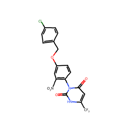 O=c1cc(C(F)(F)F)[nH]c(=O)n1-c1ccc(OCc2ccc(Cl)cc2)cc1[N+](=O)[O-]